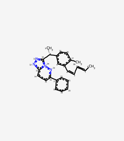 CC=C/C=C\c1cc([C@@H](C)c2nnc3ccc(-c4ccccc4)nn23)ccc1C